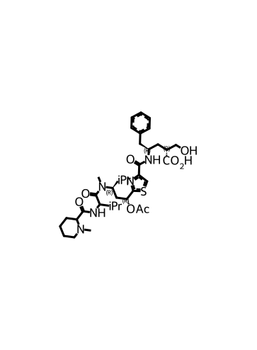 CC(=O)O[C@H](C[C@H](C(C)C)N(C)C(=O)C(NC(=O)C1CCCCN1C)C(C)C)c1nc(C(=O)N[C@@H](Cc2ccccc2)C[C@H](CO)C(=O)O)cs1